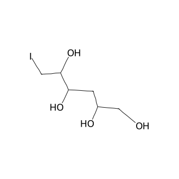 OCC(O)CC(O)C(O)CI